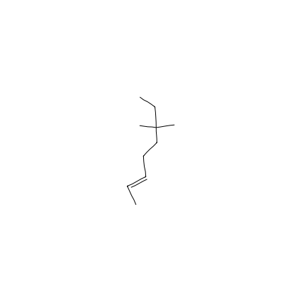 CC=CCCC(C)(C)CC